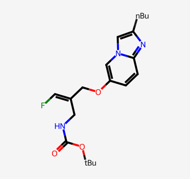 CCCCc1cn2cc(OCC(=CF)CNC(=O)OC(C)(C)C)ccc2n1